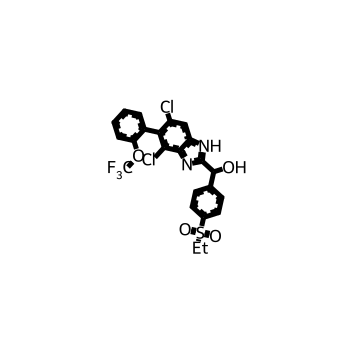 CCS(=O)(=O)c1ccc(C(O)c2nc3c(Cl)c(-c4ccccc4OC(F)(F)F)c(Cl)cc3[nH]2)cc1